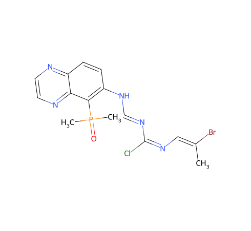 C\C(Br)=C/N=C(Cl)\N=C\Nc1ccc2nccnc2c1P(C)(C)=O